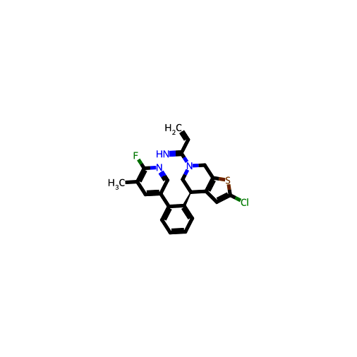 C=CC(=N)N1Cc2sc(Cl)cc2[C@@H](c2ccccc2-c2cnc(F)c(C)c2)C1